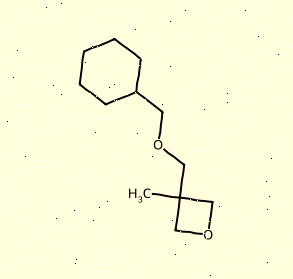 CC1(COCC2CCCCC2)COC1